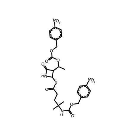 CC(OC(=O)OCc1ccc([N+](=O)[O-])cc1)C1C(=O)NC1SC(=O)CCC(C)(C)NC(=O)OCc1ccc([N+](=O)[O-])cc1